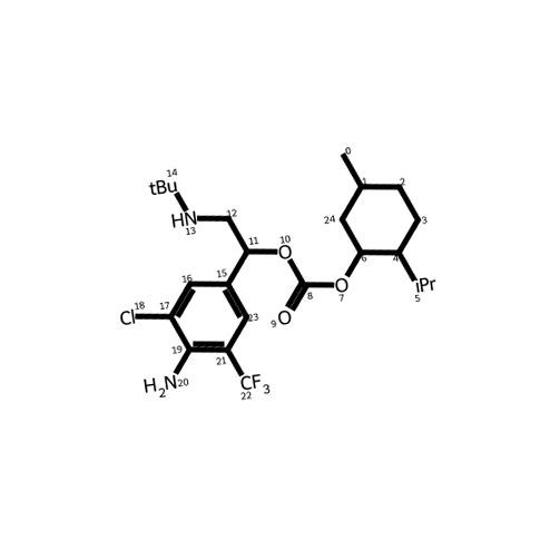 CC1CCC(C(C)C)C(OC(=O)OC(CNC(C)(C)C)c2cc(Cl)c(N)c(C(F)(F)F)c2)C1